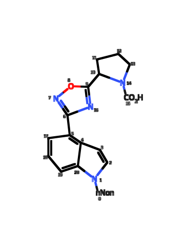 CCCCCCCCCn1ccc2c(-c3noc(C4CCCN4C(=O)O)n3)cccc21